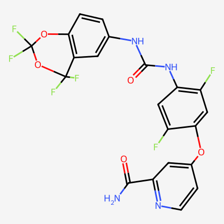 NC(=O)c1cc(Oc2cc(F)c(NC(=O)Nc3ccc4c(c3)C(F)(F)OC(F)(F)O4)cc2F)ccn1